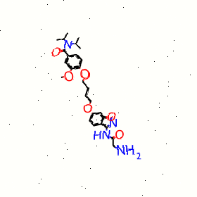 COc1cc(C(=O)N(C(C)C)C(C)C)ccc1OCCCCOc1ccc2c(NC(=O)CN)noc2c1